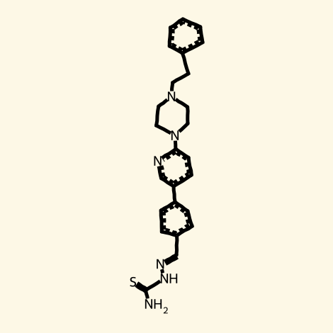 NC(=S)N/N=C/c1ccc(-c2ccc(N3CCN(CCc4ccccc4)CC3)nc2)cc1